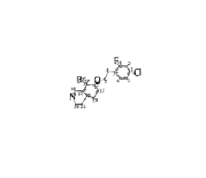 Fc1cc(Cl)ccc1CCOc1ccc2c(c1Br)C=NCC2